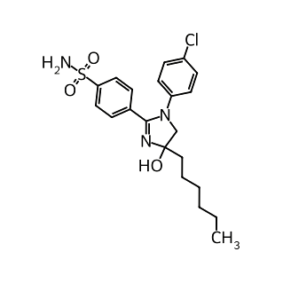 CCCCCCC1(O)CN(c2ccc(Cl)cc2)C(c2ccc(S(N)(=O)=O)cc2)=N1